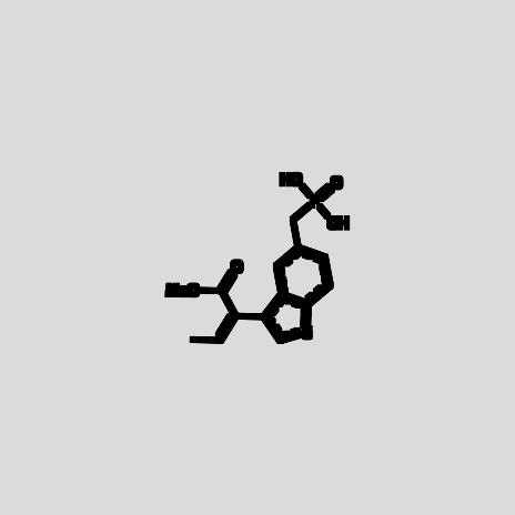 CC=C(C(=O)OC)c1csc2ccc(CP(=O)(O)O)cc12